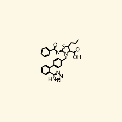 CCCC1SC(=NC(=O)c2ccccc2)N(Cc2ccc(-c3ccccc3-c3nnn[nH]3)cc2)C1C(=O)O